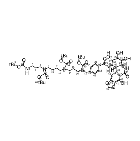 CC(C)(C)OC(=O)NCCCN(CCCCN(CCCN(Cc1ccc(C(=O)N[C@H]2[C@H](O)[C@@H](O)[C@@H](O)[C@@H]3NC(=O)c4c(cc5c(c4O)OCO5)[C@@H]23)cc1)C(=O)OC(C)(C)C)C(=O)OC(C)(C)C)C(=O)OC(C)(C)C